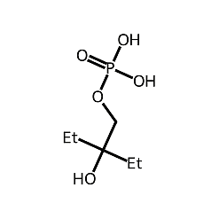 CCC(O)(CC)COP(=O)(O)O